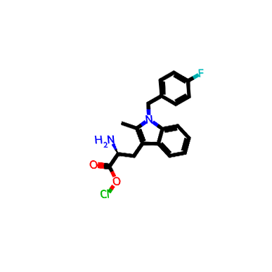 Cc1c(C[C@H](N)C(=O)OCl)c2ccccc2n1Cc1ccc(F)cc1